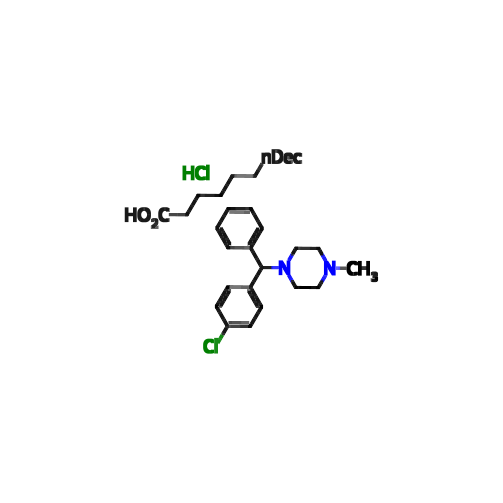 CCCCCCCCCCCCCCCC(=O)O.CN1CCN(C(c2ccccc2)c2ccc(Cl)cc2)CC1.Cl